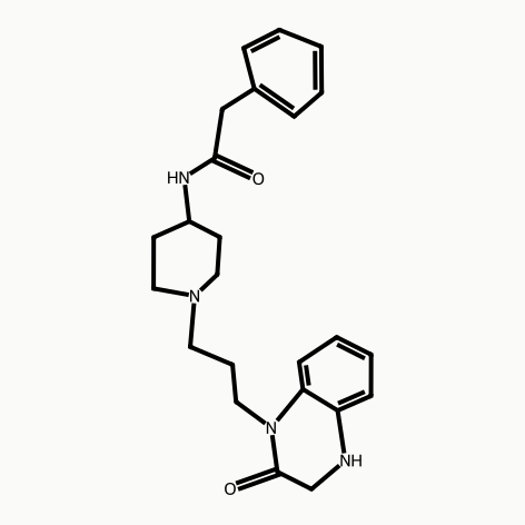 O=C(Cc1ccccc1)NC1CCN(CCCN2C(=O)CNc3ccccc32)CC1